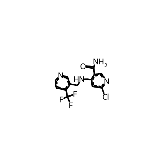 NC(=O)c1cnc(Cl)cc1NCc1cnccc1C(F)(F)F